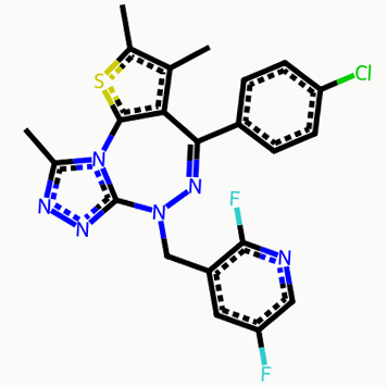 Cc1sc2c(c1C)C(c1ccc(Cl)cc1)=NN(Cc1cc(F)cnc1F)c1nnc(C)n1-2